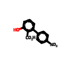 O=C(O)c1c(O)cccc1-c1ccc([N+](=O)[O-])cc1